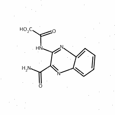 NC(=O)c1nc2ccccc2nc1NC(=O)C(=O)O